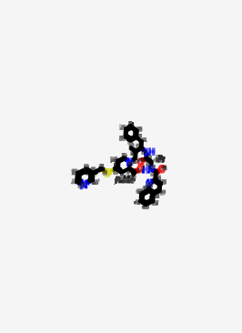 CNC(=O)C1CC(SCc2cccnc2)CCN1CC(C)C(Cc1ccccc1)NC(=O)[C@@H](NC(=O)c1ccc2ccccc2n1)C(C)C